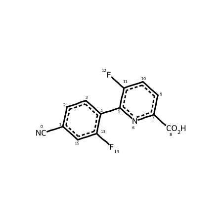 N#Cc1ccc(-c2nc(C(=O)O)ccc2F)c(F)c1